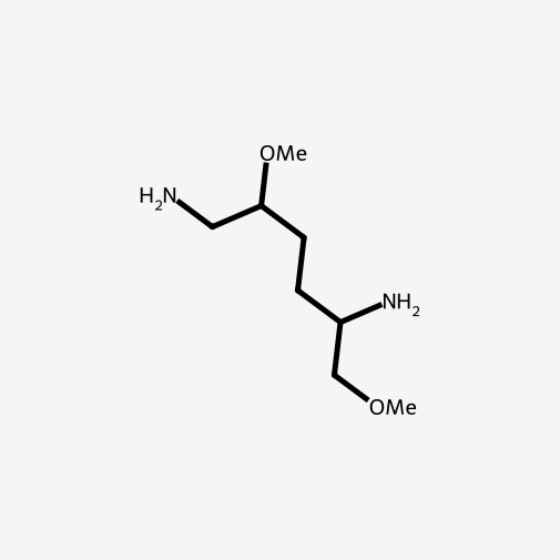 COCC(N)CCC(CN)OC